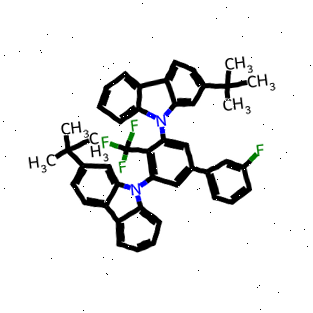 CC(C)(C)c1ccc2c3ccccc3n(-c3cc(-c4cccc(F)c4)cc(-n4c5ccccc5c5ccc(C(C)(C)C)cc54)c3C(F)(F)F)c2c1